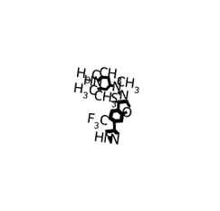 CN(c1nc2c(s1)-c1cc(C(F)(F)F)c(-c3cn[nH]c3)cc1OC2)C1CC(C)(C)NC(C)(C)C1